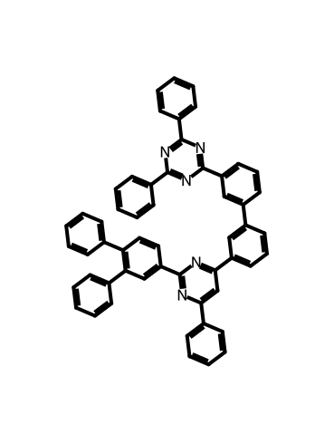 c1ccc(-c2cc(-c3cccc(-c4cccc(-c5nc(-c6ccccc6)nc(-c6ccccc6)n5)c4)c3)nc(-c3ccc(-c4ccccc4)c(-c4ccccc4)c3)n2)cc1